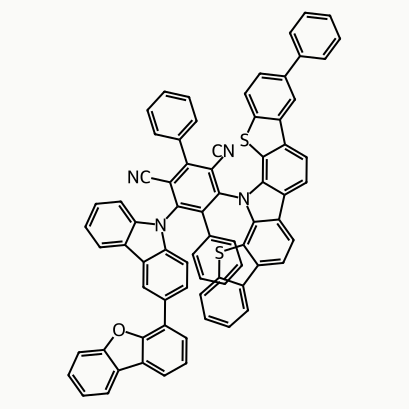 N#Cc1c(-c2ccccc2)c(C#N)c(-n2c3c(ccc4c5ccccc5sc43)c3ccc4c5cc(-c6ccccc6)ccc5sc4c32)c(-c2ccccc2)c1-n1c2ccccc2c2cc(-c3cccc4c3oc3ccccc34)ccc21